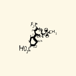 CS(=O)(=O)c1nc(-c2ccc(C(=O)O)cc2)cc(C(F)(F)F)n1